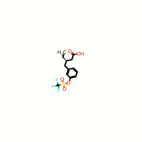 CC[C@@H](CC(=O)O)Cc1cccc(OS(=O)(=O)C(F)(F)F)c1